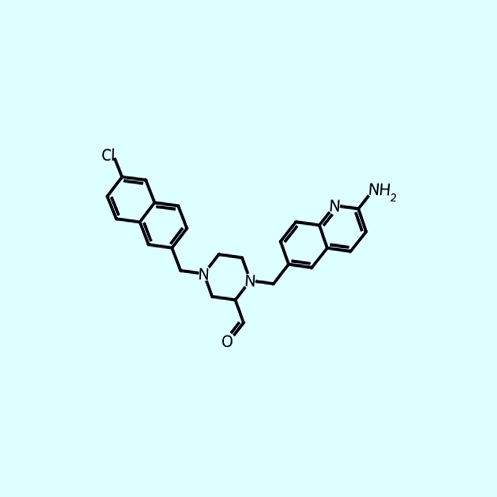 Nc1ccc2cc(CN3CCN(Cc4ccc5cc(Cl)ccc5c4)CC3C=O)ccc2n1